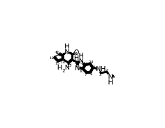 CNCCNc1ccc2nc(C3=C(N)c4ccsc4NC3O)[nH]c2c1